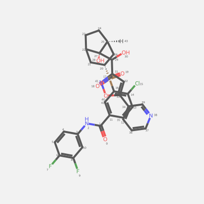 O=C(Nc1ccc(F)c(F)c1)c1ccc(Cl)c(S(=O)(=O)[C@@H]2CC3CC[C@@H](C2)[C@@]3(O)C(O)c2cc(-c3cccnc3)on2)c1